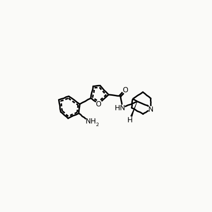 Nc1ccccc1-c1ccc(C(=O)N[C@H]2CN3CCC2CC3)o1